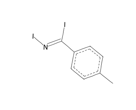 Cc1ccc(/C(I)=N/I)cc1